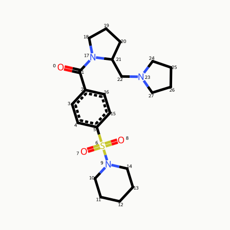 O=C(c1ccc(S(=O)(=O)N2CCCCC2)cc1)N1CCCC1CN1CCCC1